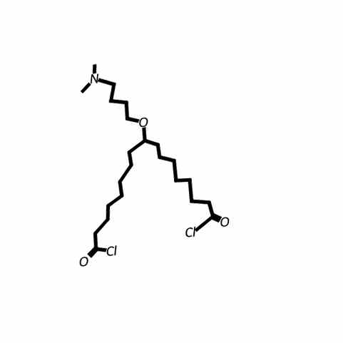 CN(C)CCCCOC(CCCCCCCC(=O)Cl)CCCCCCCC(=O)Cl